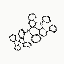 C1=CC2c3c(N(c4ccccc4)c4cccc5c4-c4ccccc4C54c5ccccc5-c5ccccc54)cc4ccccc4c3N(c3ccccc3)C2C(c2ccccc2)=C1